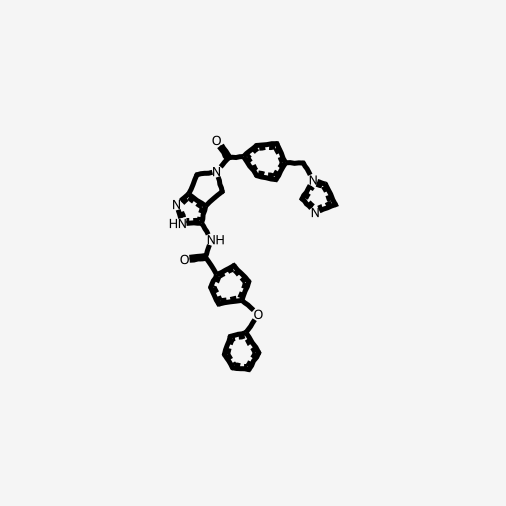 O=C(Nc1[nH]nc2c1CN(C(=O)c1ccc(Cn3ccnc3)cc1)C2)c1ccc(Oc2ccccc2)cc1